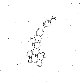 CC(=O)N1CCN(c2ccc(Nc3ncc4c(=O)n(-c5c(Cl)cccc5Cl)c5nccn5c4n3)cc2)CC1